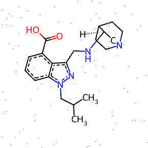 CC(C)Cn1nc(CN[C@@H]2CN3CCC2CC3)c2c(C(=O)O)cccc21